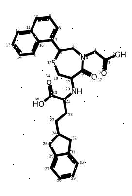 O=C(O)CN1CC(c2cccc3ccccc23)SCC(NC(CCC2Cc3ccccc3C2)C(=O)O)C1=O